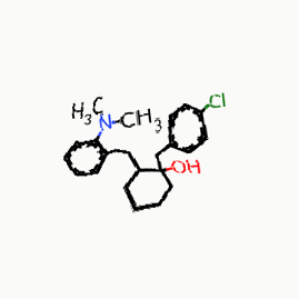 CN(C)c1ccccc1CC1CCCCC1(O)Cc1ccc(Cl)cc1